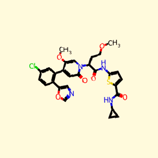 COCCC(C(=O)Nc1ccc(C(=O)NC2CC2)s1)n1cc(OC)c(-c2cc(Cl)ccc2-c2cnco2)cc1=O